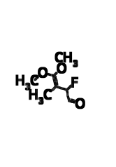 COC(OC)=C(C)C(F)C=O